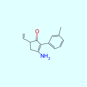 C=CC1CC(N)=C(c2cccc(C)c2)C1=O